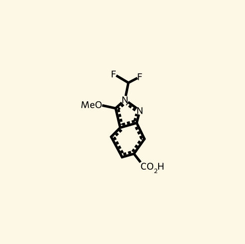 COc1c2ccc(C(=O)O)cc2nn1C(F)F